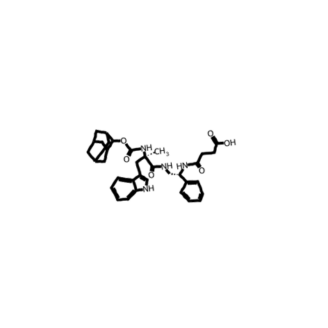 C[C@](Cc1c[nH]c2ccccc12)(NC(=O)OC1C2CC3CC(C2)CC1C3)C(=O)NC[C@H](NC(=O)CCC(=O)O)c1ccccc1